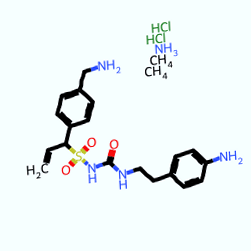 C.C.C=CC(c1ccc(CN)cc1)S(=O)(=O)NC(=O)NCCc1ccc(N)cc1.Cl.Cl.N